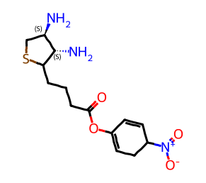 N[C@@H]1CSC(CCCC(=O)OC2=CCC([N+](=O)[O-])C=C2)[C@H]1N